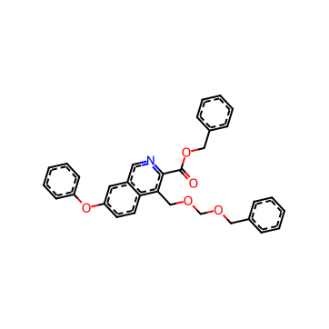 O=C(OCc1ccccc1)c1ncc2cc(Oc3ccccc3)ccc2c1COCOCc1ccccc1